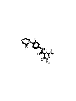 CNC(=O)N[C@@H](C(N)=O)C(=O)Nc1ccc(N2CCOCC2=O)c(F)c1